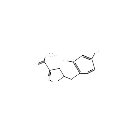 COC(=O)C1=NOC(Cc2ccc(Cl)cc2Cl)C1